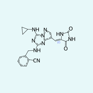 N#Cc1ccccc1CNc1nc(NC2CC2)n2ncc(/C=C3\NC(=O)NC3=O)c2n1